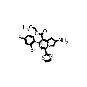 CCOC(=O)C1=C2CC(N)CN2C(c2nccs2)=N[C@H]1c1ccc(F)cc1Br